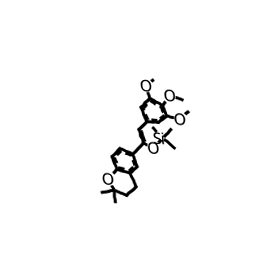 COc1cc(/C=C(\O[Si](C)(C)C)c2ccc3c(c2)CCC(C)(C)O3)cc(OC)c1OC